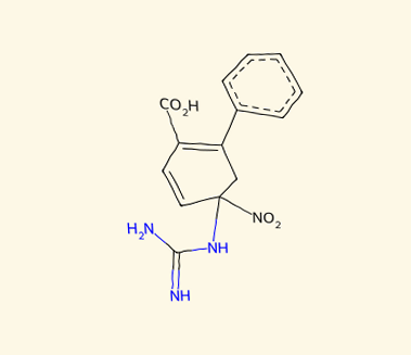 N=C(N)NC1([N+](=O)[O-])C=CC(C(=O)O)=C(c2ccccc2)C1